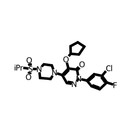 CC(C)S(=O)(=O)N1CCN(c2cnn(-c3ccc(F)c(Cl)c3)c(=O)c2OC2CCCC2)CC1